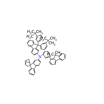 CC(C)(C)c1cccc(C2(c3cccc(C(C)(C)C)c3)c3ccccc3-c3ccc(N(c4cccc(-c5cccc6c5C(C)(C)c5ccccc5-6)c4)c4ccc5c(c4)C4(CC6CCC4C6)c4ccccc4-5)cc32)c1